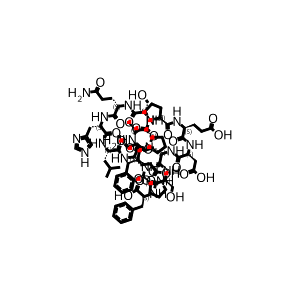 CC(C)C[C@H](NC(=O)[C@H](Cc1c[nH]cn1)NC(=O)[C@H](CCC(N)=O)NC(=O)[C@H](CO)NC(=O)[C@@H]1CCCN1C(=O)[C@H](Cc1ccccc1)NC(=O)[C@@H]1CCCN1)C(=O)N[C@@H](CCC(=O)O)C(=O)N[C@@H](C)C(=O)N1CCC[C@H]1C(=O)N[C@@H](CCC(=O)O)C(=O)N[C@@H](CC(=O)O)C(=O)N[C@@H](CCCCN)C(=O)N[C@@H](CO)C(=O)N[C@@H](Cc1ccccc1)C(=O)O